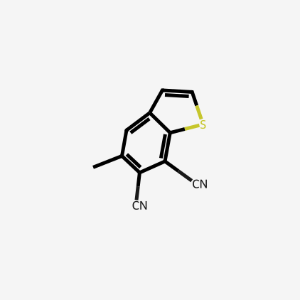 Cc1cc2ccsc2c(C#N)c1C#N